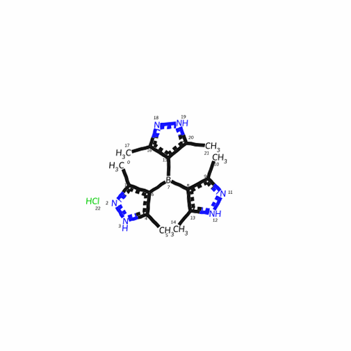 Cc1n[nH]c(C)c1B(c1c(C)n[nH]c1C)c1c(C)n[nH]c1C.Cl